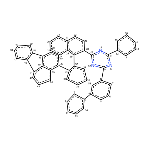 c1ccc(-c2cccc(-c3nc(-c4ccccc4)nc(-c4ccc5ccccc5c4-c4ccccc4-c4ccc5c6c(cccc46)-c4ccccc4-5)n3)c2)cc1